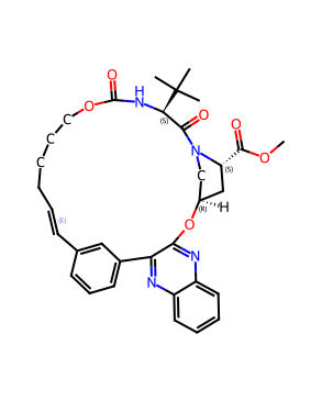 COC(=O)[C@@H]1C[C@@H]2CN1C(=O)[C@H](C(C)(C)C)NC(=O)OCCCC/C=C/c1cccc(c1)-c1nc3ccccc3nc1O2